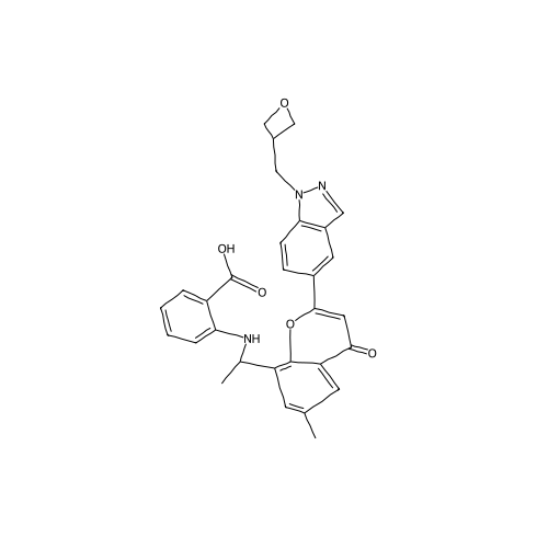 Cc1cc(C(C)Nc2ccccc2C(=O)O)c2oc(-c3ccc4c(cnn4CC4COC4)c3)cc(=O)c2c1